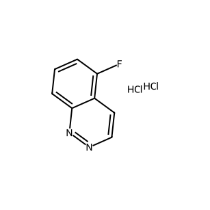 Cl.Cl.Fc1cccc2nnccc12